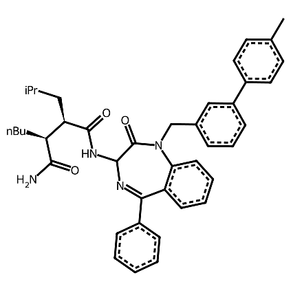 CCCC[C@H](C(N)=O)[C@@H](CC(C)C)C(=O)NC1N=C(c2ccccc2)c2ccccc2N(Cc2cccc(-c3ccc(C)cc3)c2)C1=O